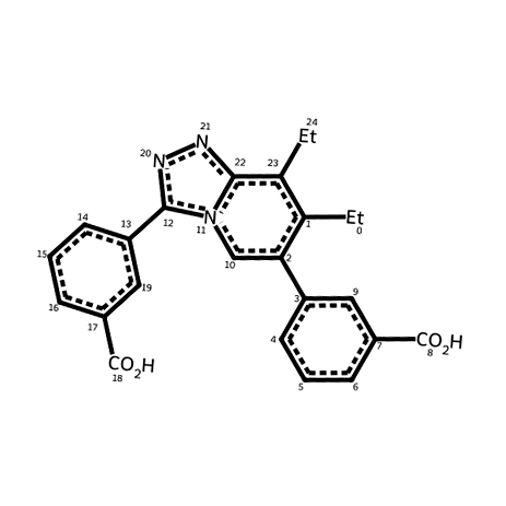 CCc1c(-c2cccc(C(=O)O)c2)cn2c(-c3cccc(C(=O)O)c3)nnc2c1CC